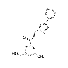 Cc1cc(CO)cc(C(=O)/C=C/c2cc(-c3ccccc3)n[nH]2)c1